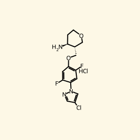 Cl.N[C@H]1CCOC[C@@H]1COc1cc(F)c(-n2cc(Cl)cn2)cc1F